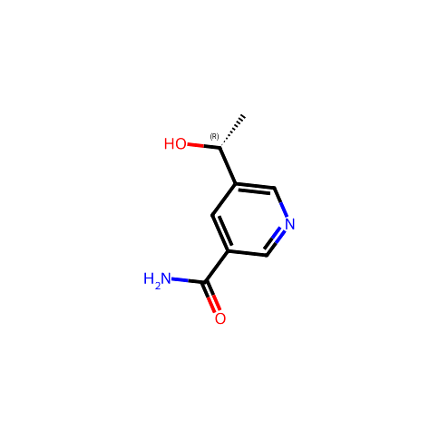 C[C@@H](O)c1cncc(C(N)=O)c1